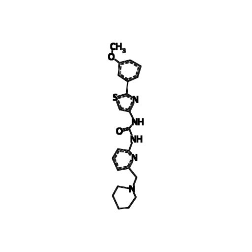 COc1cccc(-c2nc(NC(=O)Nc3cccc(CN4CCCCC4)n3)cs2)c1